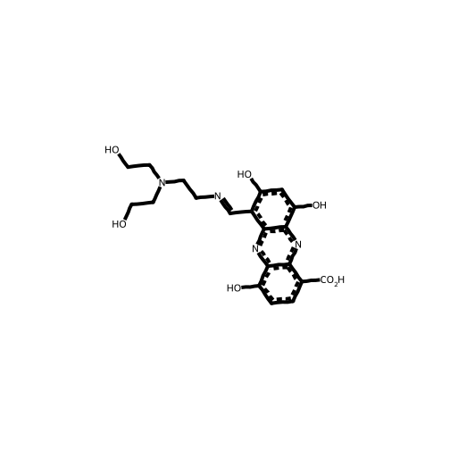 O=C(O)c1ccc(O)c2nc3c(C=NCCN(CCO)CCO)c(O)cc(O)c3nc12